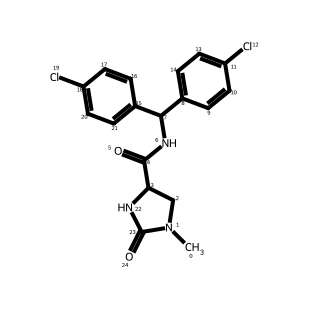 CN1CC(C(=O)NC(c2ccc(Cl)cc2)c2ccc(Cl)cc2)NC1=O